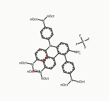 CCCCCCCCN(CCCCCCCC)c1ccc(-c2c([NH3+])ccc(N(c3ccc(N(CCCCCCCC)CCCCCCCC)cc3)c3ccc(N(CCCCCCCC)CCCCCCCC)cc3)c2-c2ccc(N(CCCCCCCC)CCCCCCCC)cc2)cc1.F[B-](F)(F)F